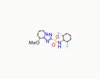 COc1cccn2nc(S(=O)(=O)Nc3c(F)cccc3F)nc12